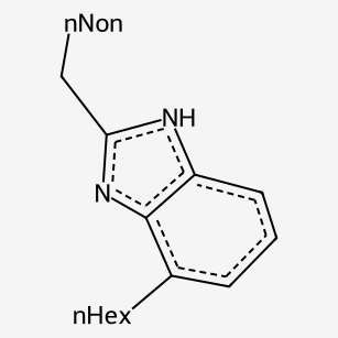 CCCCCCCCCCc1nc2c(CCCCCC)cccc2[nH]1